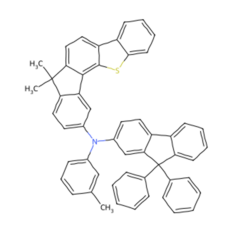 Cc1cccc(N(c2ccc3c(c2)-c2c(ccc4c2sc2ccccc24)C3(C)C)c2ccc3c(c2)C(c2ccccc2)(c2ccccc2)c2ccccc2-3)c1